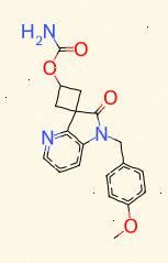 COc1ccc(CN2C(=O)C3(CC(OC(N)=O)C3)c3ncccc32)cc1